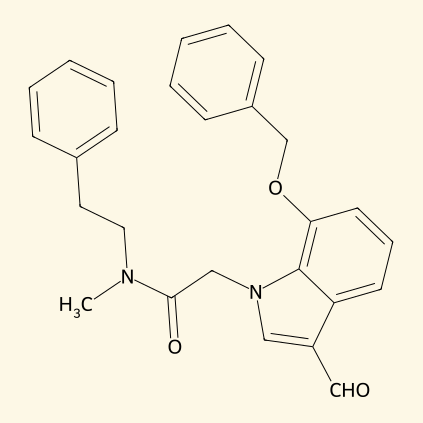 CN(CCc1ccccc1)C(=O)Cn1cc(C=O)c2cccc(OCc3ccccc3)c21